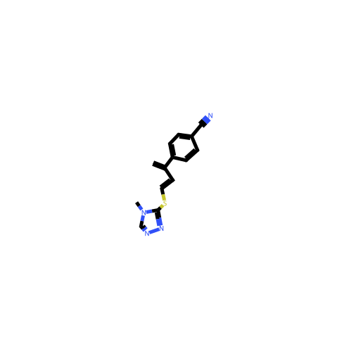 C=C(/C=C/Sc1nncn1C)c1ccc(C#N)cc1